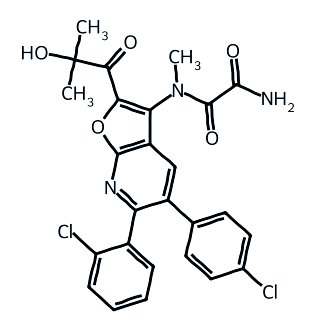 CN(C(=O)C(N)=O)c1c(C(=O)C(C)(C)O)oc2nc(-c3ccccc3Cl)c(-c3ccc(Cl)cc3)cc12